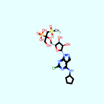 CS(=O)(=O)CC(CO)(OC[C@H]1O[C@@H](n2ncc3c(NC4CCCC4)nc(Cl)nc32)[C@H](O)[C@@H]1O)P(=O)(O)O